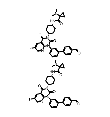 CN(C)C1(C(=O)N[C@H]2CC[C@@H](n3c(=O)c4cc(F)cnc4n(-c4cccc(-c5ccc(C=O)cc5)c4)c3=O)CC2)CC1.CN(C)C1(C(=O)N[C@H]2CC[C@@H](n3c(=O)c4cc(F)cnc4n(-c4cccc(-c5ccc(C=O)cc5)c4)c3=O)CC2)CC1